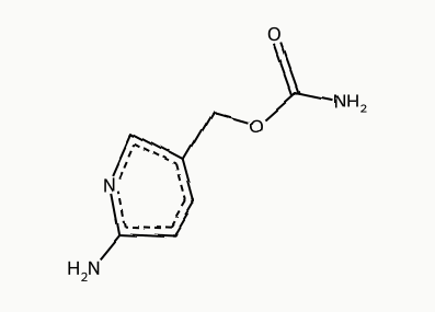 NC(=O)OCc1ccc(N)nc1